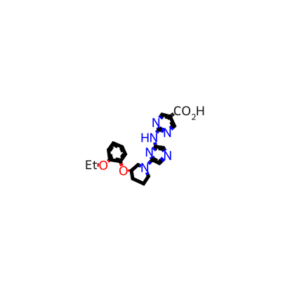 CCOc1ccccc1O[C@@H]1CCCN(c2cncc(Nc3ncc(C(=O)O)cn3)n2)C1